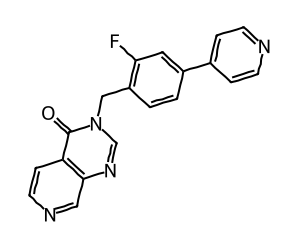 O=c1c2ccncc2ncn1Cc1ccc(-c2ccncc2)cc1F